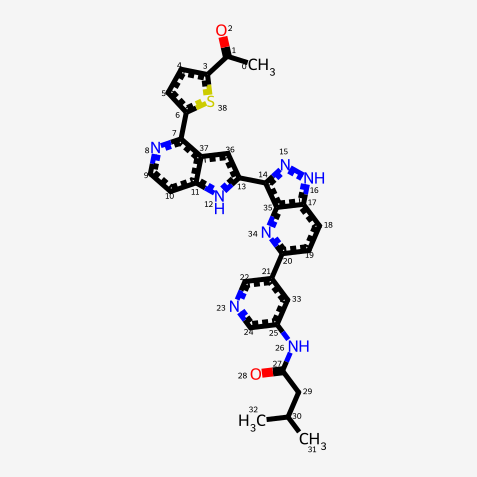 CC(=O)c1ccc(-c2nccc3[nH]c(-c4n[nH]c5ccc(-c6cncc(NC(=O)CC(C)C)c6)nc45)cc23)s1